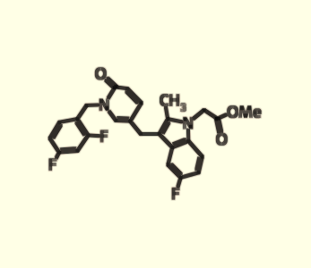 COC(=O)Cn1c(C)c(Cc2ccc(=O)n(Cc3ccc(F)cc3F)c2)c2cc(F)ccc21